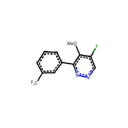 COc1c(F)cnnc1-c1cccc(C(F)(F)F)c1